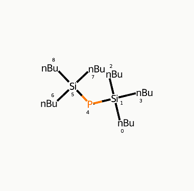 CCCC[Si](CCCC)(CCCC)[P][Si](CCCC)(CCCC)CCCC